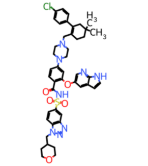 CC1(C)CCC(CN2CCN(c3ccc(C(=O)NS(=O)(=O)c4ccc5c(c4)nnn5CC4CCOCC4)c(Oc4cnc5[nH]ccc5c4)c3)CC2)=C(c2ccc(Cl)cc2)C1